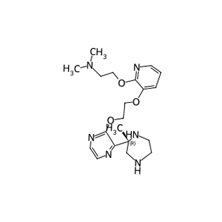 CN(C)CCOc1ncccc1OCCOc1nccnc1[C@@]1(C)CNCCN1